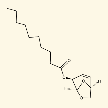 CCCCCCCCCC(=O)O[C@H]1C=C[C@H]2CO[C@@H]1O2